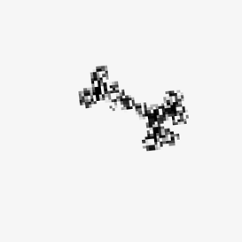 Cc1cc(-c2cc(-c3ccccc3)nc(-c3ccccc3)n2)c(C)cc1-c1ccc(-c2ccc(-n3c4ccc(N(c5ccccc5)c5ccccc5)cc4c4cc(N(c5ccccc5)c5ccccc5)ccc43)cc2)cc1